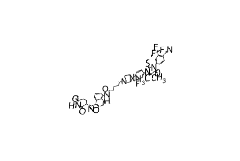 CC1(C)C(=O)N(c2ccc(C#N)c(C(F)(F)F)c2)C(=S)N1c1ccc(N2CCN(CCCCC(=O)Nc3cccc4c3ccc3onc(C5CCC(=O)NC5=O)c34)CC2)c(F)c1